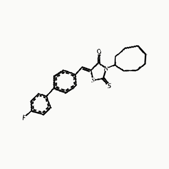 O=C1C(=Cc2ccc(-c3ccc(F)cc3)cc2)SC(=S)N1C1CCCCCCC1